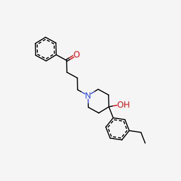 CCc1cccc(C2(O)CCN(CCCC(=O)c3ccccc3)CC2)c1